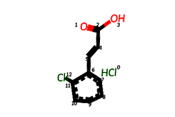 Cl.O=C(O)C=Cc1ccccc1Cl